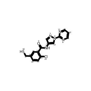 O=C(Nc1cnn(-c2ncccn2)c1)c1cc(CS)ccc1Cl